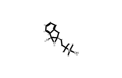 CC(C)(CC[C@]12Cc3ccccc3[C@H]1O2)[Si](C)(C)O